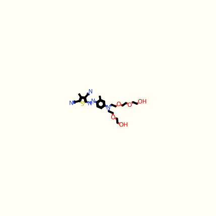 Cc1cc(N(CCOCCO)CCOCCOCCO)ccc1/N=N/c1sc(C#N)c(C)c1C#N